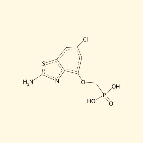 Nc1nc2c(OCP(=O)(O)O)cc(Cl)cc2s1